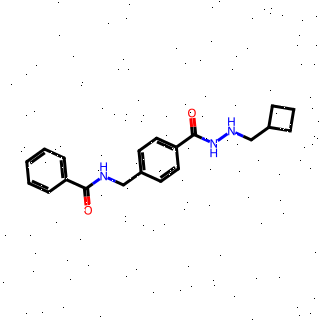 O=C(NCc1ccc(C(=O)NNCC2CCC2)cc1)c1ccccc1